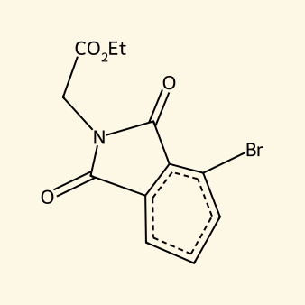 CCOC(=O)CN1C(=O)c2cccc(Br)c2C1=O